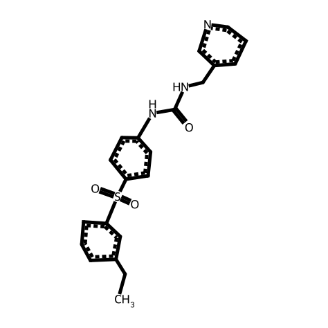 CCc1cccc(S(=O)(=O)c2ccc(NC(=O)NCc3cccnc3)cc2)c1